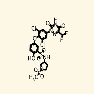 CS(=O)(=O)N1CC[C@H](NS(=O)(=O)c2cc(Oc3c(Cl)cc(-n4nc(C(F)F)c(=O)[nH]c4=O)cc3Cl)ccc2O)C1